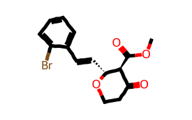 COC(=O)[C@H]1C(=O)CCO[C@@H]1/C=C/c1ccccc1Br